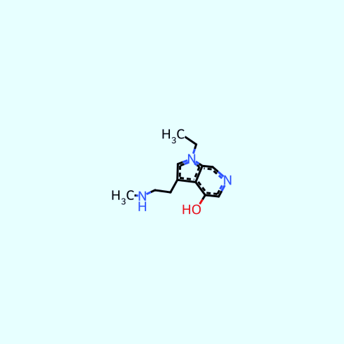 CCn1cc(CCNC)c2c(O)cncc21